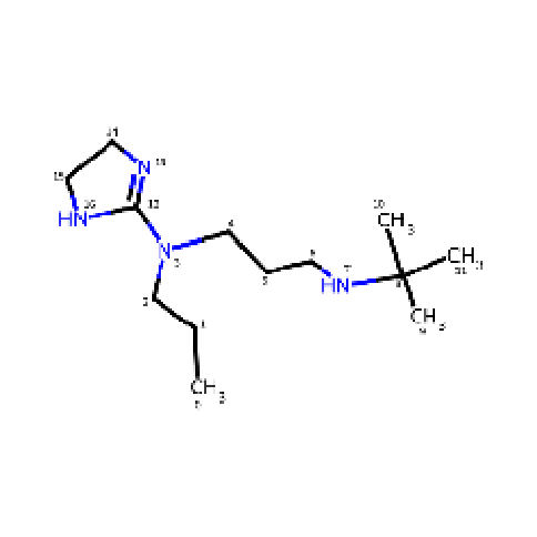 CCCN(CCCNC(C)(C)C)C1=NCCN1